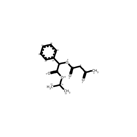 CC(=O)CC(=O)OC(C(=O)OC(C)C)c1ccccc1